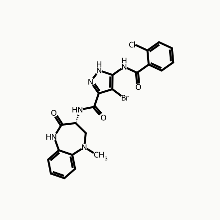 CN1C[C@@H](NC(=O)c2n[nH]c(NC(=O)c3ccccc3Cl)c2Br)C(=O)Nc2ccccc21